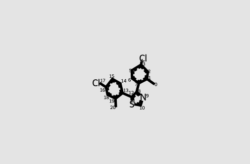 Cc1cc(Cl)ccc1-c1ncsc1-c1ccc(Cl)cc1C